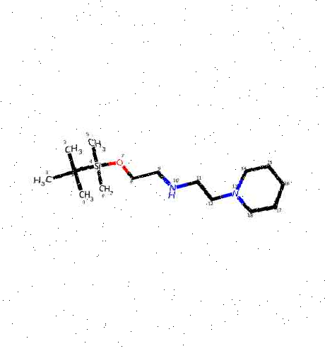 CC(C)(C)[Si](C)(C)OCCNCCN1CCCCC1